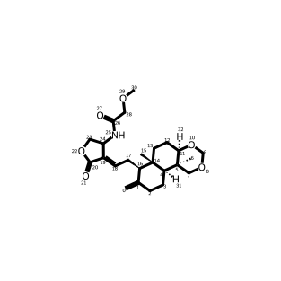 C=C1CC[C@@H]2[C@]3(C)COCO[C@@H]3CC[C@@]2(C)[C@@H]1C/C=C1/C(=O)OCC1NC(=O)COC